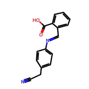 N#CCc1ccc(N=Cc2ccccc2C(=O)O)cc1